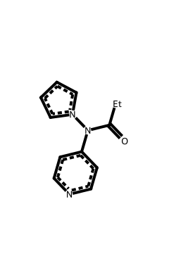 CCC(=O)N(c1ccncc1)n1cccc1